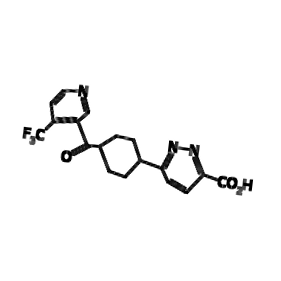 O=C(O)c1ccc(C2CCC(C(=O)c3cnccc3C(F)(F)F)CC2)nn1